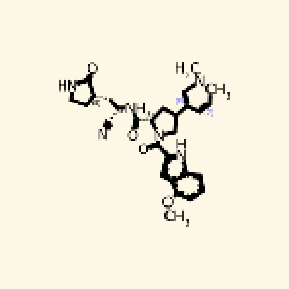 C=N/C=C(\C=C/C)C1C[C@@H](C(=O)N[C@H](C#N)C[C@@H]2CCNC2=O)N(C(=O)c2cc3c(OC)cccc3[nH]2)C1